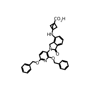 O=C1c2cccc(NC34CC(C(=O)O)(C3)C4)c2CN1c1ccc(OCc2ccccc2)nc1OCc1ccccc1